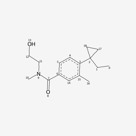 CCC1(c2ccc(C(=O)N(C)CCO)cc2C)CC1